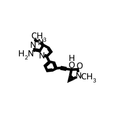 Cc1nc(N)c2nc(-c3cccc(C#C[C@]4(O)C(=O)N(C)C5CC54)c3)ccc2n1